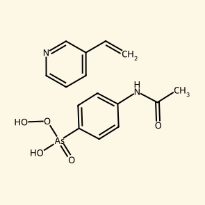 C=Cc1cccnc1.CC(=O)Nc1ccc([As](=O)(O)OO)cc1